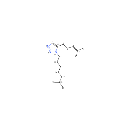 CC(C)=CCCc1cnnn1CCCCCC(C)C